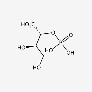 O=C(O)[C@H](OP(=O)(O)O)[C@H](O)CO